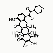 CC(=O)C1=C(O)C(C(C)C)[C@@]2(C)C[C@@]3(C)Cc4c(C(=O)C(=O)C5CCOCC5)ccc(O)c4C(=O)C3=C(O)[C@@]2(O)C1=O